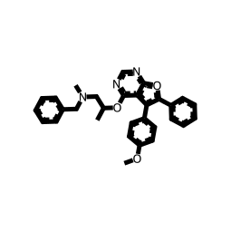 COc1ccc(-c2c(-c3ccccc3)oc3ncnc(OC(C)CN(C)Cc4ccccc4)c23)cc1